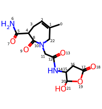 CC1=CCC(C(N)=O)C(=O)N(CC(=O)NC2CC(=O)OC2O)C1